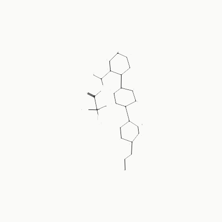 CCCC1CCC(C2CCC(C3CCCCC3C(C)OC(=O)C(F)(F)F)CC2)CC1